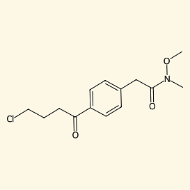 CON(C)C(=O)Cc1ccc(C(=O)CCCCl)cc1